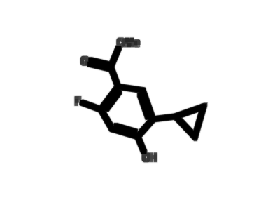 COC(=O)c1cc(C2CC2)c(O)cc1F